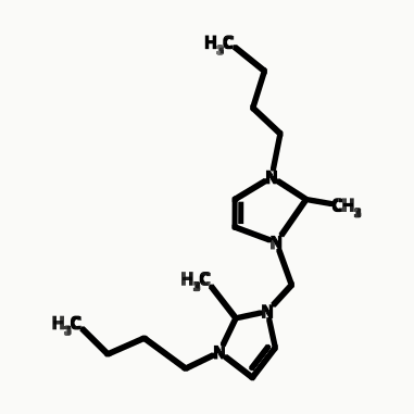 CCCCN1C=CN(CN2C=CN(CCCC)C2C)C1C